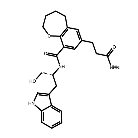 CNC(=O)CCc1cc2c(c(C(=O)N[C@@H](CO)Cc3c[nH]c4ccccc34)c1)OCCCC2